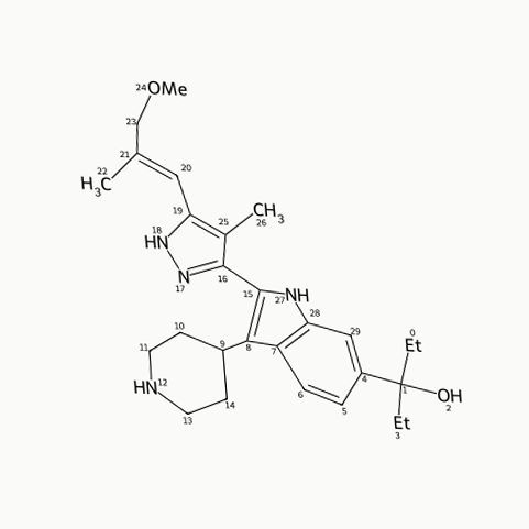 CCC(O)(CC)c1ccc2c(C3CCNCC3)c(-c3n[nH]c(/C=C(\C)COC)c3C)[nH]c2c1